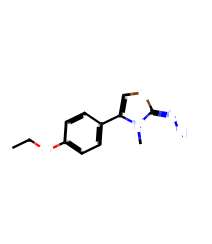 CCOc1ccc(-c2csc(=NN)n2C)cc1